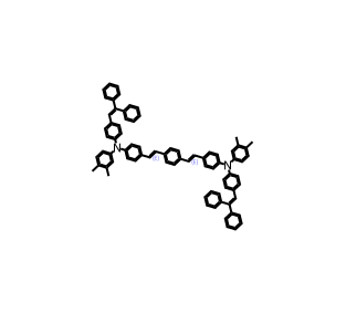 Cc1ccc(N(c2ccc(C=C(c3ccccc3)c3ccccc3)cc2)c2ccc(/C=C/c3ccc(/C=C/c4ccc(N(c5ccc(C=C(c6ccccc6)c6ccccc6)cc5)c5ccc(C)c(C)c5)cc4)cc3)cc2)cc1C